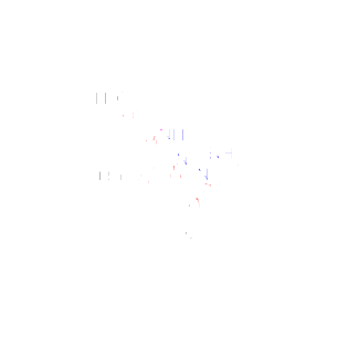 CCCOCOC(=O)N(CCN)CCN(CCNC(=O)OCOC(=O)CC)C(=O)OCOC(=O)CC